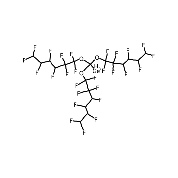 FC(F)C(F)C(F)C(F)C(F)(F)C(F)(F)O[C]([GeH3])(OC(F)(F)C(F)(F)C(F)C(F)C(F)C(F)F)OC(F)(F)C(F)(F)C(F)C(F)C(F)C(F)F